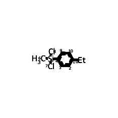 CCc1ccc([Si](C)(Cl)Cl)cc1